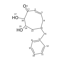 O=C1C=CCC(Cc2ccccc2)CC(O)C1O